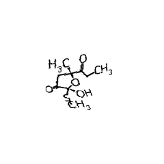 CCC(=O)[C@@]1(C)CC(=O)[C@@](O)(SC)O1